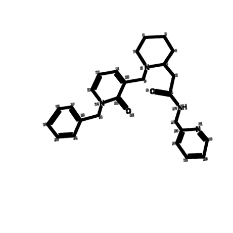 O=C(CC1CCCCN1Cc1cccn(Cc2ccccc2)c1=O)NCc1ccccn1